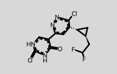 O=c1[nH]cc(-c2cc([C@@H]3C[C@H]3CC(F)F)c(Cl)nn2)c(=O)[nH]1